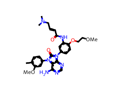 COCCOc1ccc(-n2c(=O)n(-c3ccc(C)c(OC)c3)c3c(N)ncnc32)cc1NC(=O)C=CCN(C)C